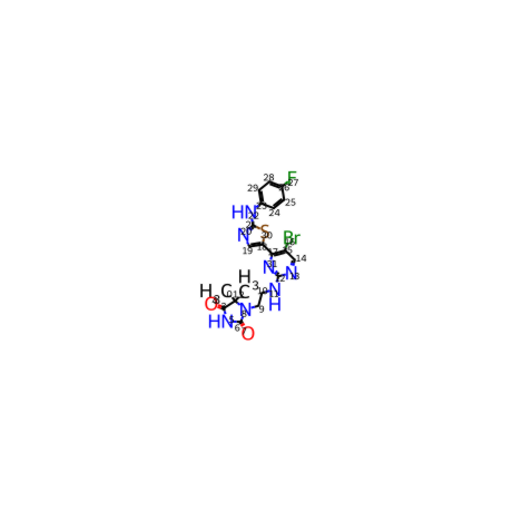 CC1(C)C(=O)NC(=O)N1CCNc1ncc(Br)c(-c2cnc(Nc3ccc(F)cc3)s2)n1